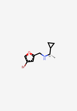 C[C@H](NCc1cc(Br)co1)C1CC1